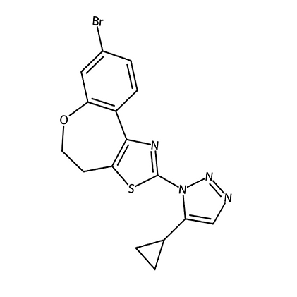 Brc1ccc2c(c1)OCCc1sc(-n3nncc3C3CC3)nc1-2